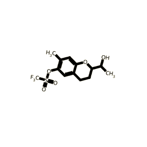 Cc1cc2c(cc1OS(=O)(=O)C(F)(F)F)CCC(C(C)O)O2